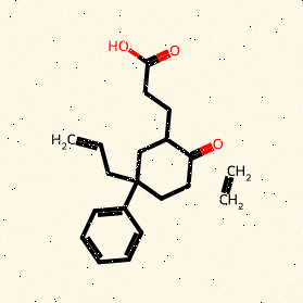 C=C.C=CCC1(c2ccccc2)CCC(=O)C(CCC(=O)O)C1